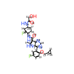 Cc1[nH]c2c(-c3cc(F)ccc3OCC3CC3)ncnc2c1C(=O)NC1CCC(NC(=O)CO)CC1F